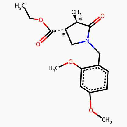 CCOC(=O)[C@H]1CN(Cc2ccc(OC)cc2OC)C(=O)[C@@H]1C